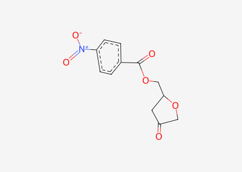 O=C1COC(COC(=O)c2ccc([N+](=O)[O-])cc2)C1